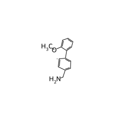 COc1ccccc1-c1[c]cc(CN)cc1